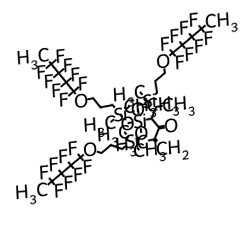 C=C(C)C(=O)C(CC)[Si](O[Si](C)(C)CCCOC(F)(F)C(F)(F)C(F)(F)C(C)(F)F)(O[Si](C)(C)CCCOC(F)(F)C(F)(F)C(F)(F)C(C)(F)F)O[Si](C)(C)CCCOC(F)(F)C(F)(F)C(F)(F)C(C)(F)F